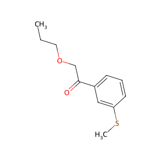 CCCOCC(=O)c1cccc(SC)c1